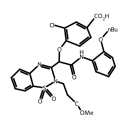 CCCCOc1ccccc1NC(=O)C(Oc1ccc(C(=O)O)cc1Cl)C1=Nc2ccccc2S(=O)(=O)N1CCCOC